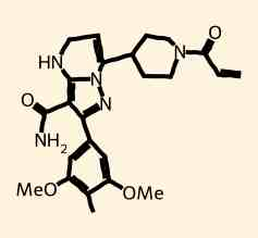 C=CC(=O)N1CCC(C2=CCNc3c(C(N)=O)c(-c4cc(OC)c(C)c(OC)c4)nn32)CC1